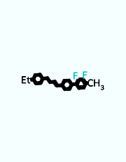 CCC1CCC(CC/C=C/C2CCC(c3ccc(C)c(F)c3F)CC2)CC1